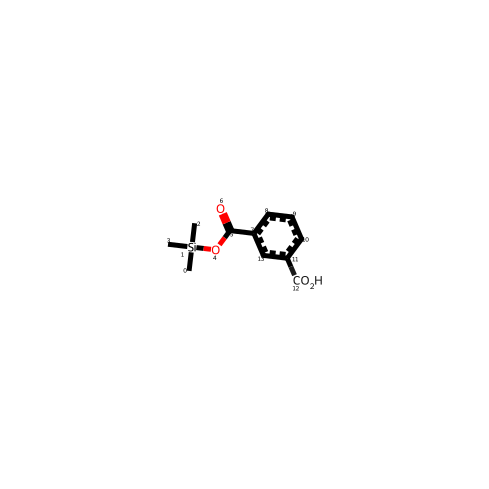 C[Si](C)(C)OC(=O)c1cccc(C(=O)O)c1